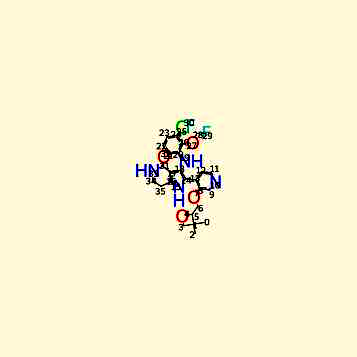 CC1(C)COC1COc1cnccc1-c1[nH]c2c(c1Nc1cccc(Cl)c1OC(F)F)C(=O)NCC2